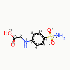 NS(=O)(=O)c1ccc(NCC(=O)O)cc1